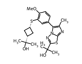 COc1ccc(-c2c(C)nc3sc(C(C)(C)O)nn23)cc1S[C@H]1C[C@@H](C(C)(C)O)C1